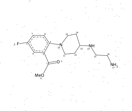 COC(=O)c1cc(F)ccc1N1CCC(NCCN)CC1